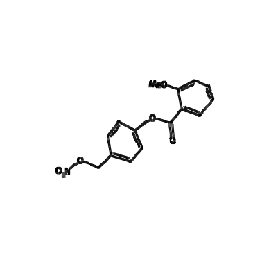 COc1ccccc1C(=O)Oc1ccc(CO[N+](=O)[O-])cc1